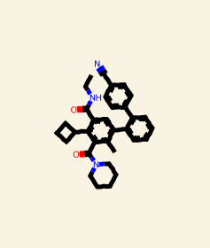 CCNC(=O)c1cc(-c2ccccc2-c2ccc(C#N)cc2)c(C)c(C(=O)N2CCCCC2)c1C1CCC1